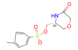 Cc1ccc(S(=O)(=O)OC[C@H]2COCC(=O)N2)cc1